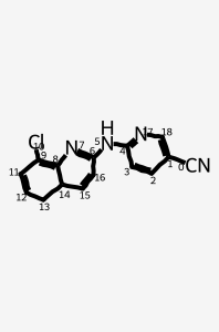 N#Cc1ccc(NC2=NC3=C(Cl)C=CCC3C=C2)nc1